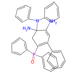 NC1=CC(c2ccccc2)=C(P(=O)(c2ccccc2)c2ccccc2)CC1(N)N(c1ccccc1)c1ccccc1